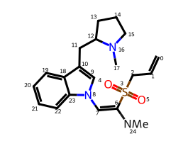 C=CCS(=O)(=O)C(=Cn1cc(CC2CCCN2C)c2ccccc21)NC